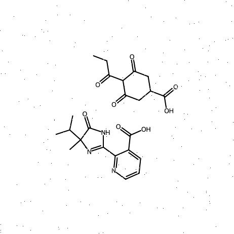 CC(C)C1(C)N=C(c2ncccc2C(=O)O)NC1=O.CCC(=O)C1C(=O)CC(C(=O)O)CC1=O